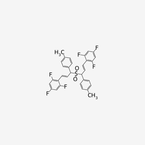 Cc1ccc(C(C=Cc2c(F)cc(F)cc2F)S(=O)(=O)C(C=Cc2c(F)cc(F)cc2F)c2ccc(C)cc2)cc1